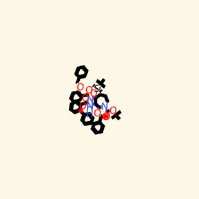 CC(C)(C)OC(=O)N1CCCC(NC(=O)c2c(OCc3ccccc3)cccc2OCc2ccccc2)(O[Si](C)(C)C(C)(C)C)C(NC(=O)c2ccccc2)C1OC(=O)c1ccccc1